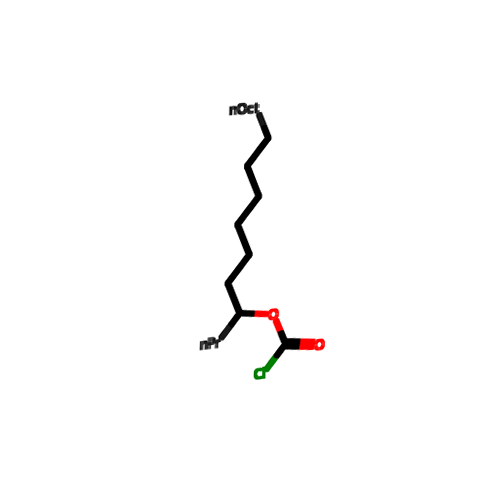 CCCCCCCCCCCCCCC(CCC)OC(=O)Cl